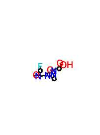 CO/N=C(/CCCN1CCC2(CC1)C(=O)N(Cc1cccc(C(=O)O)c1)CN2c1ccccc1)c1ccc(F)cc1